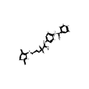 Cc1ccc(C)c(OCCCC(C)(C)C(=O)Oc2ccc(OC(=O)c3ccccc3)cc2)c1